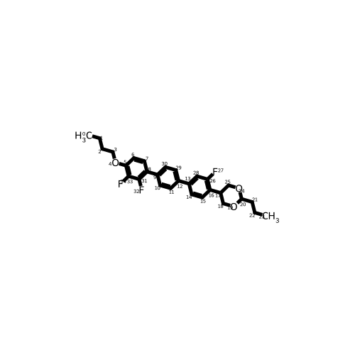 CCCCOc1ccc(-c2ccc(-c3ccc(C4COC(CCC)OC4)c(F)c3)cc2)c(F)c1F